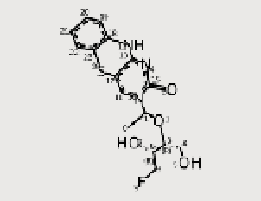 CC(O[C@H](CO)[C@@H](O)CF)n1cc2c(nc1=O)Nc1ccccc1S2